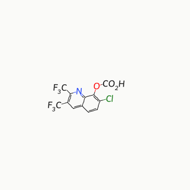 O=C(O)Oc1c(Cl)ccc2cc(C(F)(F)F)c(C(F)(F)F)nc12